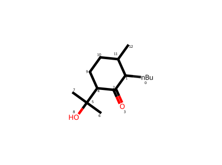 CCCCC1C(=O)C(C(C)(C)O)CCC1C